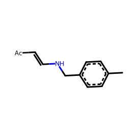 CC(=O)/C=C/NCc1ccc(C)cc1